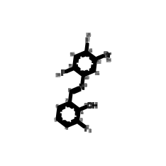 Oc1c(F)cccc1C=Nc1cc(Br)c(F)cc1F